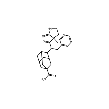 CC1(C(=O)N(Cc2cccnc2)C2C3CC4CC2CC(C(N)=O)(C4)C3)CCNC1=O